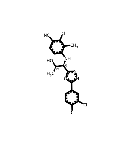 Cc1c(N[C@@H](c2nnc(-c3ccc(Cl)c(Cl)c3)o2)[C@@H](C)O)ccc(C#N)c1Cl